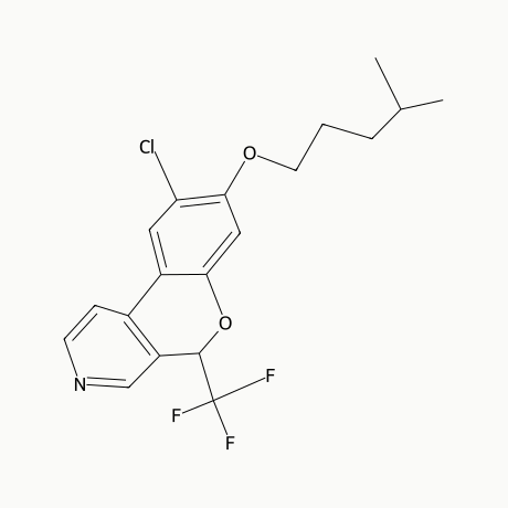 CC(C)CCCOc1cc2c(cc1Cl)-c1ccncc1C(C(F)(F)F)O2